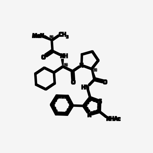 CN[C@@H](C)C(=O)N[C@H](C(=O)N1CCC[C@H]1C(=O)Nc1sc(NC(C)=O)nc1-c1ccccc1)C1CCCCC1